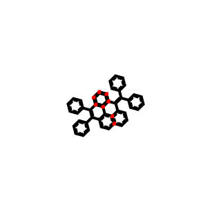 c1ccc(C(=C(c2ccccc2)c2ccccc2-c2ccccc2C(=C(c2ccccc2)c2ccccc2)c2ccccc2)c2ccccc2)cc1